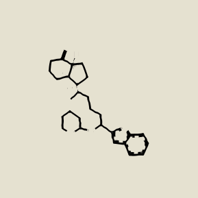 CC(CCCC(OC1CCCCO1)c1cc2ccccc2o1)[C@H]1CC[C@H]2C(=O)CCC[C@]12C